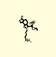 CCOC(=O)c1c2c(nn1CCCCN)-c1cn[nH]c1CC2.Cl